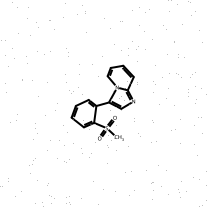 CS(=O)(=O)c1ccccc1-c1[c]nc2ccccn12